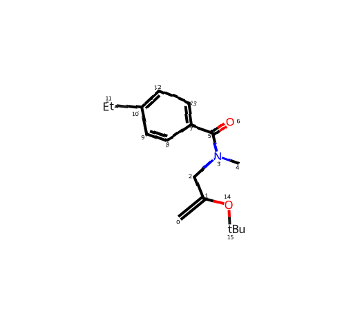 C=C(CN(C)C(=O)c1ccc(CC)cc1)OC(C)(C)C